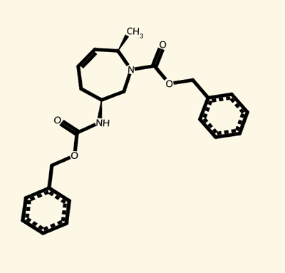 C[C@@H]1C=CC[C@H](NC(=O)OCc2ccccc2)CN1C(=O)OCc1ccccc1